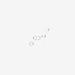 C[C@H](CCNCCF)NC(=O)c1ccc2c(Oc3ccc(C(F)(F)F)cc3)cccc2c1